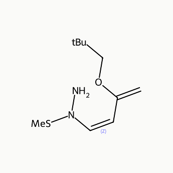 C=C(/C=C\N(N)SC)OCC(C)(C)C